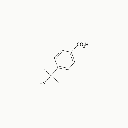 CC(C)(S)c1ccc(C(=O)O)cc1